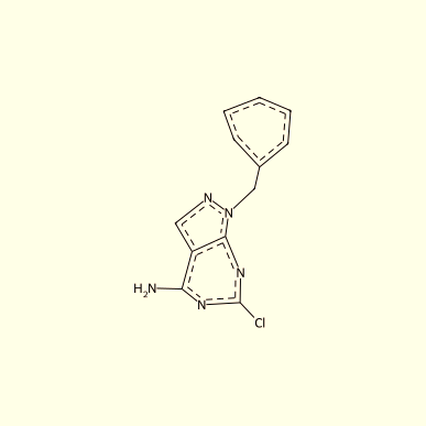 Nc1nc(Cl)nc2c1cnn2Cc1ccccc1